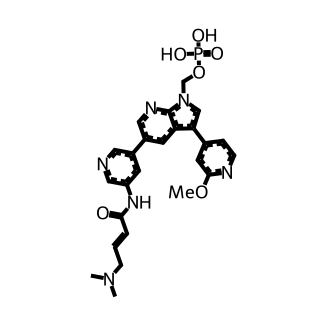 COc1cc(-c2cn(COP(=O)(O)O)c3ncc(-c4cncc(NC(=O)C=CCN(C)C)c4)cc23)ccn1